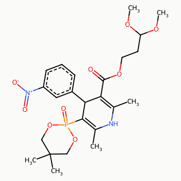 COC(CCOC(=O)C1=C(C)NC(C)=C(P2(=O)OCC(C)(C)CO2)C1c1cccc([N+](=O)[O-])c1)OC